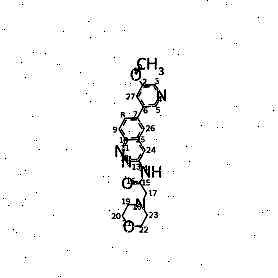 COc1cncc(-c2ccc3nnc(NC(=O)CN4CCOCC4)cc3c2)c1